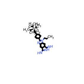 CCCn1c(-c2ccc(C#C[Si](C(C)C)(C(C)C)C(C)C)cc2)nc2cc3c(cc21)C(=N)NC3=N